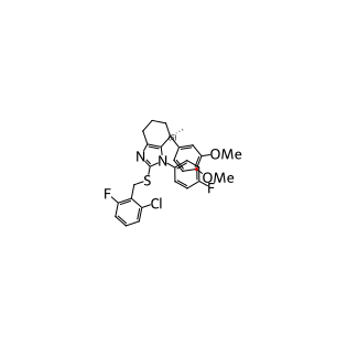 COc1ccc([C@]2(C)CCCc3nc(SCc4c(F)cccc4Cl)n(-c4ccc(F)cc4)c32)cc1OC